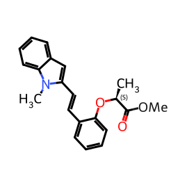 COC(=O)[C@H](C)Oc1ccccc1C=Cc1cc2ccccc2n1C